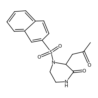 CC(=O)CC1C(=O)NCCN1S(=O)(=O)c1ccc2ccccc2c1